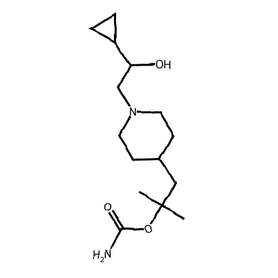 CC(C)(CC1CCN(CC(O)C2CC2)CC1)OC(N)=O